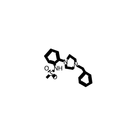 CS(=O)(=O)Nc1ccccc1N1CCN(Cc2ccccc2)CC1